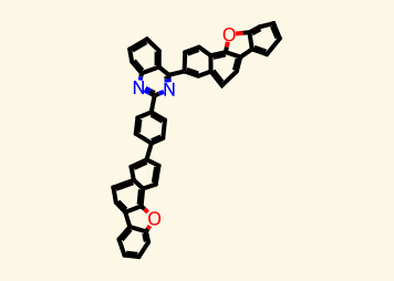 c1ccc2c(-c3ccc4c(ccc5c6ccccc6oc45)c3)nc(-c3ccc(-c4ccc5c(ccc6c7ccccc7oc56)c4)cc3)nc2c1